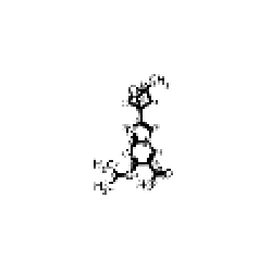 CC(C)Oc1nc2nc(C34COC(C)(C3)C4)cn2cc1C(=O)O